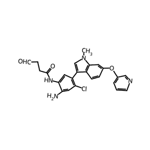 Cn1cc(-c2cc(NC(=O)CCC=O)c(N)cc2Cl)c2ccc(Oc3cccnc3)cc21